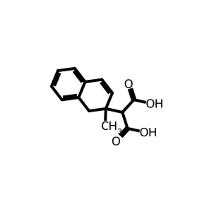 CC1(C(C(=O)O)C(=O)O)C=Cc2ccccc2C1